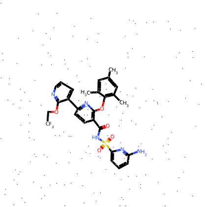 Cc1cc(C)c(Oc2nc(-c3cccnc3OCC(F)(F)F)ccc2C(=O)NS(=O)(=O)c2cccc(N)n2)c(C)c1